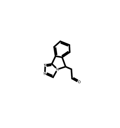 O=CCC1c2ccccc2-c2nncn21